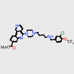 COC(=O)c1ccc2c(c1)nc(N1CCN(CCCCNCc3ccc(OC(F)(F)F)c(Cl)c3)CC1)c1ccncc12